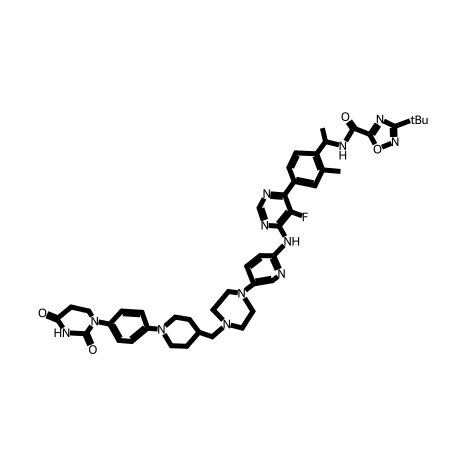 Cc1cc(-c2ncnc(Nc3ccc(N4CCN(CC5CCN(c6ccc(N7CCC(=O)NC7=O)cc6)CC5)CC4)cn3)c2F)ccc1C(C)NC(=O)c1nc(C(C)(C)C)no1